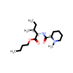 CCCCOC(=O)[C@@H](NC(=O)[C@H]1CCCCN1C)[C@@H](C)CC